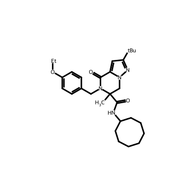 CCOc1ccc(CN2C(=O)c3cc(C(C)(C)C)nn3CC2(C)C(=O)NC2CCCCCCC2)cc1